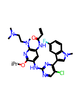 C=CC(=O)Nc1cc(Nc2ncc(Cl)c(-c3cn(C)c4ccc(F)cc34)n2)c(OC(C)C)nc1N(C)CCN(C)C